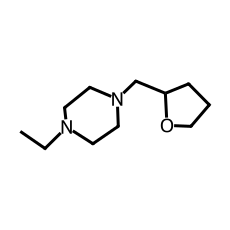 CCN1CCN(CC2CCCO2)CC1